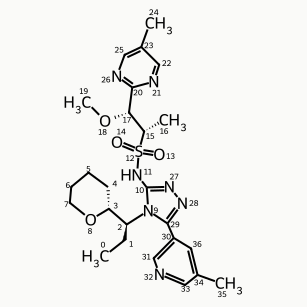 CC[C@@H]([C@H]1CCCCO1)n1c(NS(=O)(=O)[C@@H](C)[C@H](OC)c2ncc(C)cn2)nnc1-c1cncc(C)c1